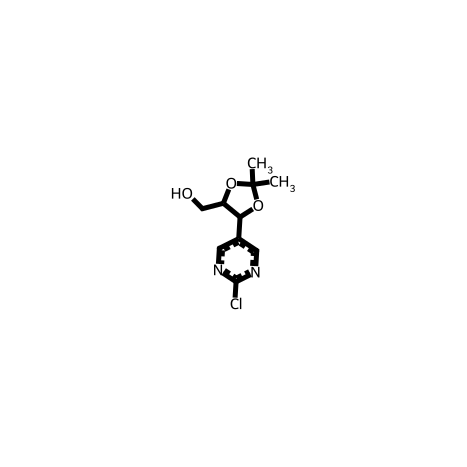 CC1(C)OC(CO)C(c2cnc(Cl)nc2)O1